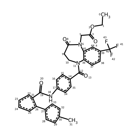 CCOC(=O)CN1C(=O)CCN(C(=O)c2ccc(NC(=O)c3ccccc3-c3ccc(C)cc3)cc2)c2ccc(C(F)(F)F)cc21